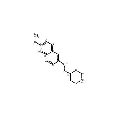 COc1ncc2cc(OCC3CCNCC3)ccc2n1